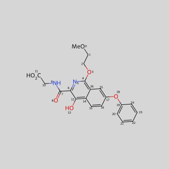 COCCOc1nc(C(=O)NCC(=O)O)c(O)c2ccc(Oc3ccccc3)cc12